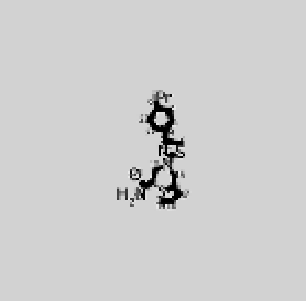 CC(C)c1ccc(-c2csc(N(CCC(N)=O)Cc3cccs3)n2)cc1